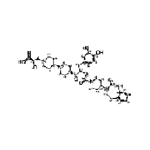 O=C(CN1CCC(N2CCN(C(=O)C(Cc3ccc(O)c(Br)c3)OC(=O)N3CCC(N4CCc5ccccc5NC4=O)CC3)CC2)CC1)NO